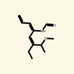 C=C/C=C(\C=C(\CC)C(C)OC)NC=O